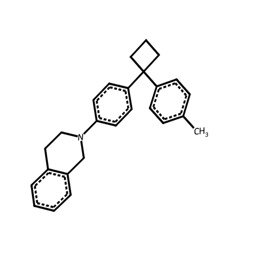 Cc1ccc(C2(c3ccc(N4CCc5ccccc5C4)cc3)CCC2)cc1